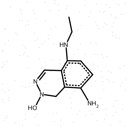 CCNc1ccc(N)c2c1C=NN(O)C2